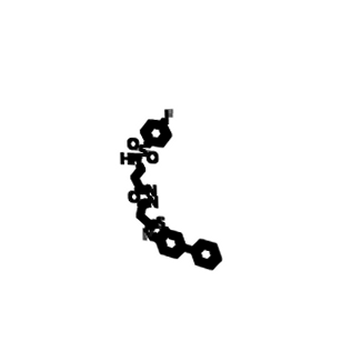 O=S(=O)(NCCc1nnc(Cc2nc3ccc(-c4ccccc4)cc3s2)o1)c1ccc(F)cc1